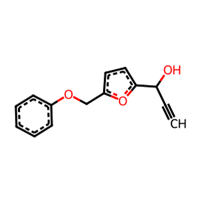 C#CC(O)c1ccc(COc2ccccc2)o1